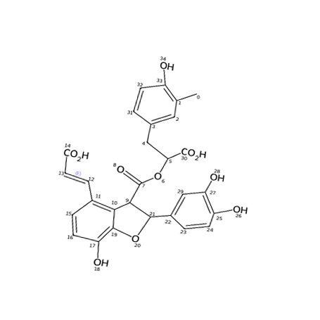 Cc1cc(CC(OC(=O)C2c3c(/C=C/C(=O)O)ccc(O)c3OC2c2ccc(O)c(O)c2)C(=O)O)ccc1O